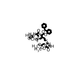 COC(Cn1c(SC=CC2=C(C(=O)OC(c3ccccc3)c3ccccc3)N3C(=O)C(N)C3[S+]([O-])C2)n[nH]c(=O)c1=O)OC.CS(=O)(=O)O